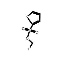 O=S(=O)(OCF)c1cccs1